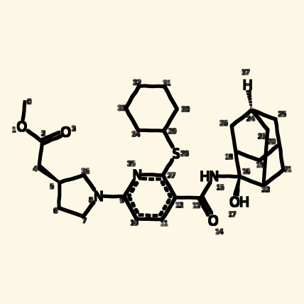 COC(=O)C[C@@H]1CCN(c2ccc(C(=O)N[C@]3(O)C4CC5CC3C[C@H](C5)C4)c(SC3CCCCC3)n2)C1